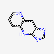 c1cnc2cc3ncnc-3[nH]c2c1